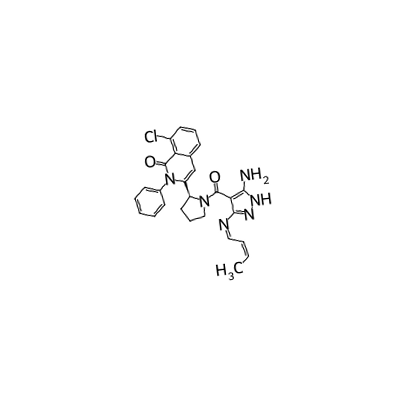 C/C=C\C=N/c1n[nH]c(N)c1C(=O)N1CCC[C@H]1c1cc2cccc(Cl)c2c(=O)n1-c1ccccc1